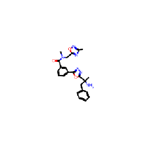 Cc1noc(CN(C)C(=O)c2cccc(-c3nnc(C(C)(N)Cc4ccccc4)o3)c2)n1